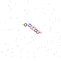 Cc1ccc(-c2cc(O[C@H]3Cc4cc5ccc(=O)oc5cc4OC3(C)C)ncn2)cc1